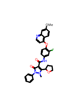 COc1ccc2c(Oc3ccc(NC(=O)c4c(C5CCCO5)n(C)n(-c5ccccc5)c4=O)cc3F)ccnc2c1